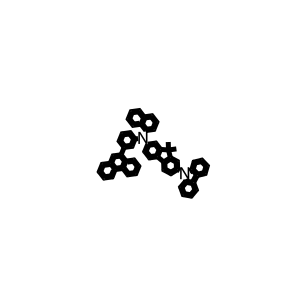 CC1(C)c2cc(N(c3cccc(-c4cc5ccccc5c5ccccc45)c3)c3cccc4ccccc34)ccc2-c2ccc(-n3c4ccccc4c4ccccc43)cc21